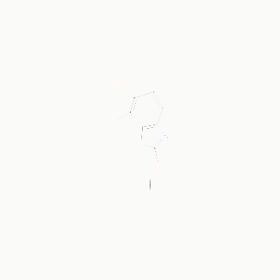 CCOc1nc2ccc(O)c(Cl)c2s1